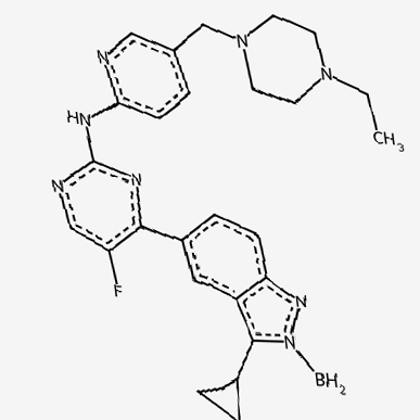 Bn1nc2ccc(-c3nc(Nc4ccc(CN5CCN(CC)CC5)cn4)ncc3F)cc2c1C1CC1